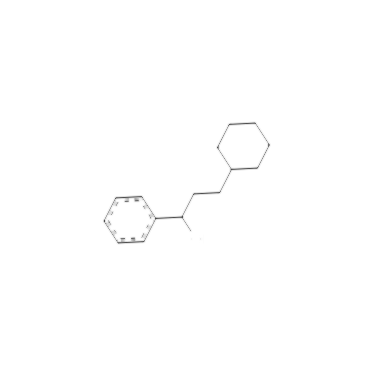 OC(CCC1CCCCC1)c1cc[c]cc1